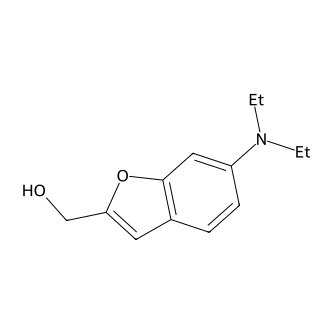 CCN(CC)c1ccc2cc(CO)oc2c1